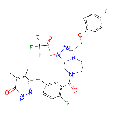 Cc1c(Cc2ccc(F)c(C(=O)N3CCN4C(COc5ccc(F)cc5)=[N+]N(OC(=O)C(F)(F)F)C4C3)c2)n[nH]c(=O)c1C